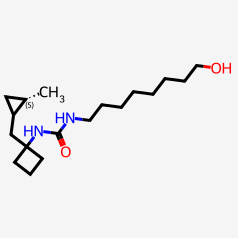 C[C@H]1CC1CC1(NC(=O)NCCCCCCCCO)CCC1